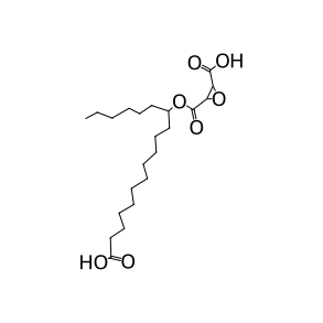 CCCCCCC(CCCCCCCCCCC(=O)O)OC(=O)C1OC1C(=O)O